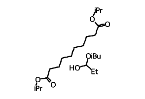 CC(C)OC(=O)CCCCCCCCC(=O)OC(C)C.CCC(O)OCC(C)C